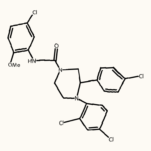 COc1ccc(Cl)cc1NC(=O)N1CCN(c2ccc(Cl)cc2Cl)C(c2ccc(Cl)cc2)C1